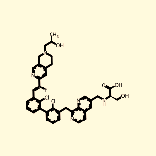 C[C@@H](O)CN1CCc2cc(/C(F)=C/c3cccc(-c4cccc(Cc5nccc6cc(CN[C@H](CO)C(=O)O)cnc56)c4Cl)c3Cl)ncc2C1